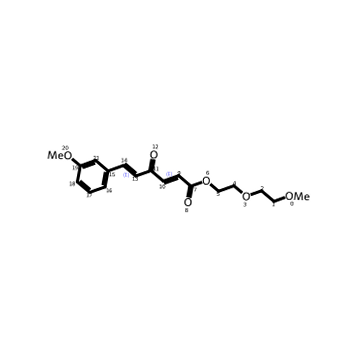 COCCOCCOC(=O)/C=C/C(=O)/C=C/c1cccc(OC)c1